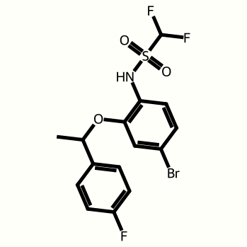 CC(Oc1cc(Br)ccc1NS(=O)(=O)C(F)F)c1ccc(F)cc1